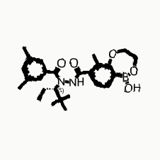 CC[C@H](N(NC(=O)c1ccc2c(c1C)OCCOB2O)C(=O)c1cc(C)cc(C)c1)C(C)(C)C